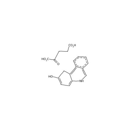 O=C(O)CCC(=O)C(=O)O.OC1=CC=C2NC=c3ccccc3=C2C1